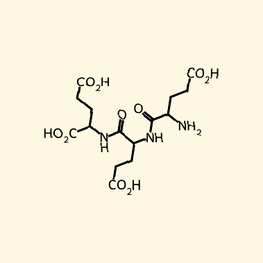 NC(CCC(=O)O)C(=O)NC(CCC(=O)O)C(=O)NC(CCC(=O)O)C(=O)O